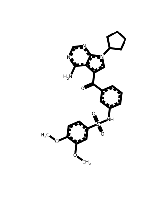 COc1ccc(S(=O)(=O)Nc2cccc(C(=O)c3cn(C4CCCC4)c4ncnc(N)c34)c2)cc1OC